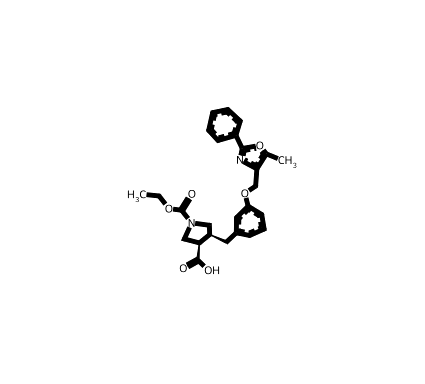 CCOC(=O)N1C[C@@H](Cc2cccc(OCc3nc(-c4ccccc4)oc3C)c2)[C@@H](C(=O)O)C1